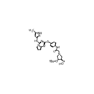 Cc1cc(Nc2nc(Sc3ccc(NC(=O)CN4CC(=NO)C(OC(C)(C)C)C4)cc3)nc3cccn23)n[nH]1